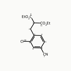 CCOC(=O)C(Cc1ccc(C#N)cc1Cl)C(=O)OCC